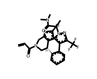 C=CC(=O)N1Cc2sc(Cl)cc2[C@H](c2ccccc2-c2cn(C(C)C(=O)N(C)C)nc2C(F)(F)F)C1